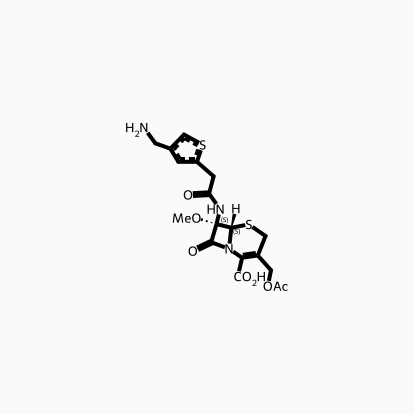 CO[C@@]1(NC(=O)Cc2cc(CN)cs2)C(=O)N2C(C(=O)O)=C(COC(C)=O)CS[C@H]21